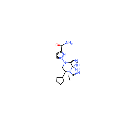 CC[N@@+]12C=NNC13NC=NC=C3N(n1ccc(C(N)=O)n1)CC2C1CCCC1